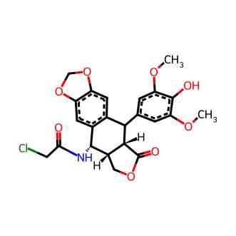 COc1cc(C2c3cc4c(cc3[C@@H](NC(=O)CCl)[C@H]3COC(=O)[C@@H]23)OCO4)cc(OC)c1O